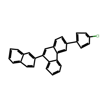 Clc1ccc(-c2ccc3cc(-c4ccc5ccccc5c4)c4ccccc4c3c2)cc1